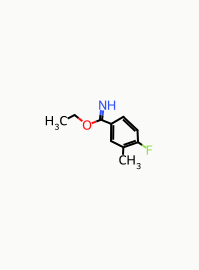 CCOC(=N)c1ccc(F)c(C)c1